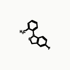 Cc1ccccc1B1OCc2cc(F)ccc21